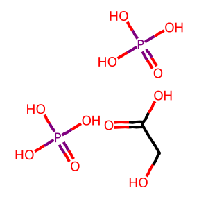 O=C(O)CO.O=P(O)(O)O.O=P(O)(O)O